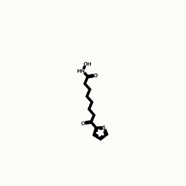 O=C(CCCCCCC(=O)c1cccs1)NO